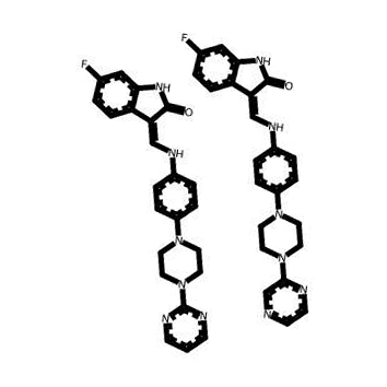 O=C1Nc2cc(F)ccc2C1=CNc1ccc(N2CCN(c3cnccn3)CC2)cc1.O=C1Nc2cc(F)ccc2C1=CNc1ccc(N2CCN(c3ncccn3)CC2)cc1